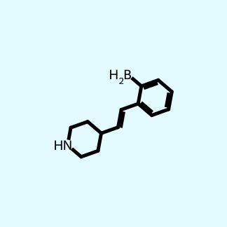 Bc1ccccc1/C=C/C1CCNCC1